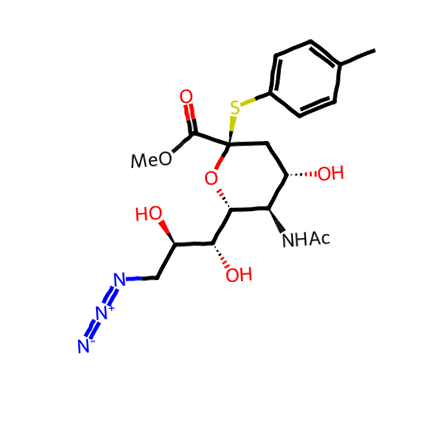 COC(=O)[C@]1(Sc2ccc(C)cc2)C[C@H](O)[C@@H](NC(C)=O)[C@H]([C@H](O)[C@H](O)CN=[N+]=[N-])O1